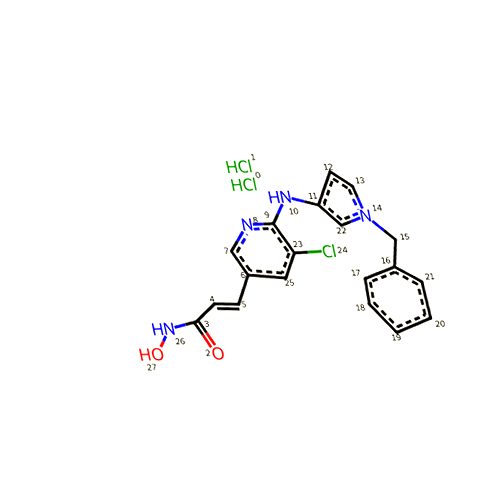 Cl.Cl.O=C(C=Cc1cnc(Nc2ccn(Cc3ccccc3)c2)c(Cl)c1)NO